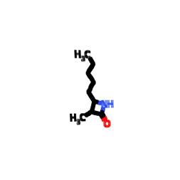 CCCCCC1NC(=O)C1C